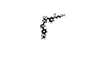 Cc1nc(-c2nc(-c3ccc(OC(F)(F)F)cc3)no2)nn1Cc1ccnc(NCCCO)c1